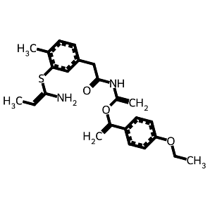 C=C(NC(=O)Cc1ccc(C)c(S/C(N)=C\C)c1)OC(=C)c1ccc(OCC)cc1